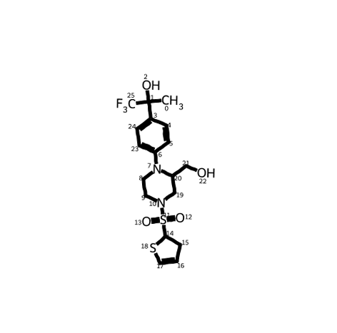 CC(O)(c1ccc(N2CCN(S(=O)(=O)C3CC=CS3)CC2CO)cc1)C(F)(F)F